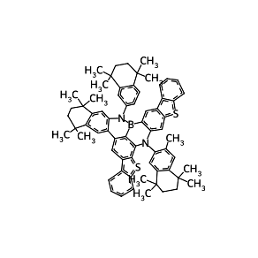 Cc1cc2c(cc1N1c3cc4sc5ccccc5c4cc3B3c4c(cc5c(sc6ccccc65)c41)-c1cc4c(cc1N3c1ccc3c(c1)C(C)(C)CCC3(C)C)C(C)(C)CCC4(C)C)C(C)(C)CCC2(C)C